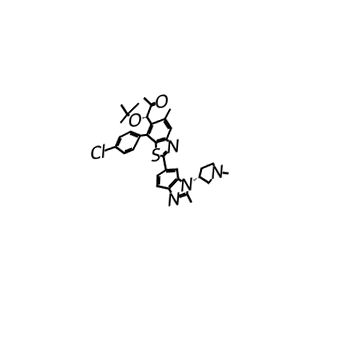 CC(=O)[C@@H](OC(C)(C)C)c1c(C)cc2nc(-c3ccc4nc(C)n([C@@H]5CCN(C)C5)c4c3)sc2c1-c1ccc(Cl)cc1